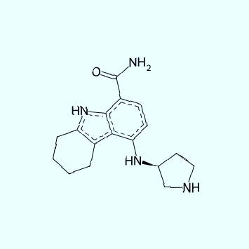 NC(=O)c1ccc(N[C@H]2CCNC2)c2c3c([nH]c12)CCCC3